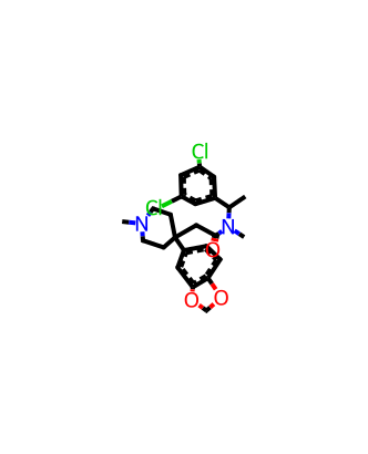 CC(c1cc(Cl)cc(Cl)c1)N(C)C(=O)CC1(c2ccc3c(c2)OCO3)CCN(C)CC1